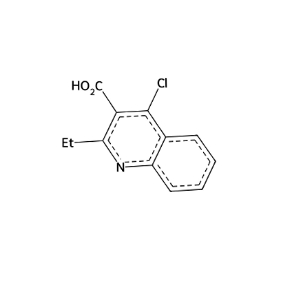 CCc1nc2ccccc2c(Cl)c1C(=O)O